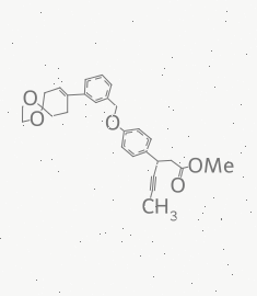 CC#CC(CC(=O)OC)c1ccc(OCc2cccc(C3=CCC4(CC3)OCCO4)c2)cc1